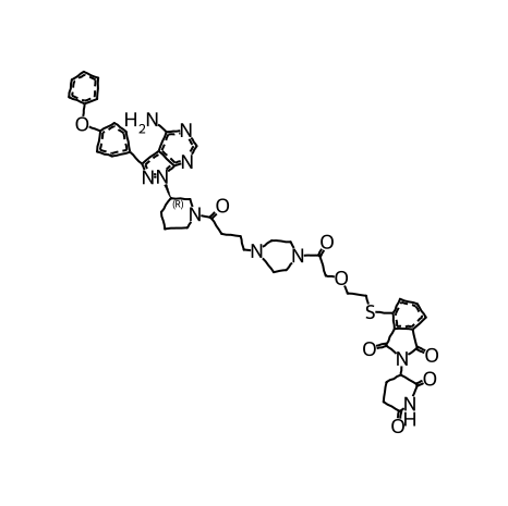 Nc1ncnc2c1c(-c1ccc(Oc3ccccc3)cc1)nn2[C@@H]1CCCN(C(=O)CCCN2CCN(C(=O)COCCSc3cccc4c3C(=O)N(C3CCC(=O)NC3=O)C4=O)CC2)C1